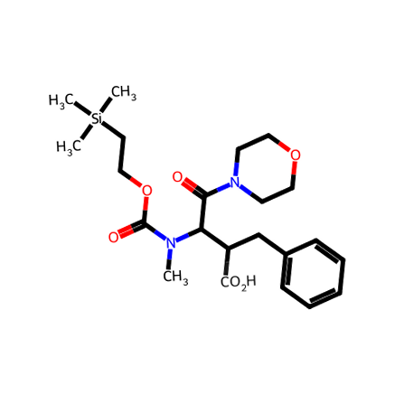 CN(C(=O)OCC[Si](C)(C)C)C(C(=O)N1CCOCC1)C(Cc1ccccc1)C(=O)O